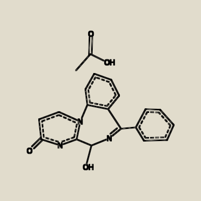 CC(=O)O.O=c1ccn2c(n1)C(O)N=C(c1ccccc1)c1ccccc1-2